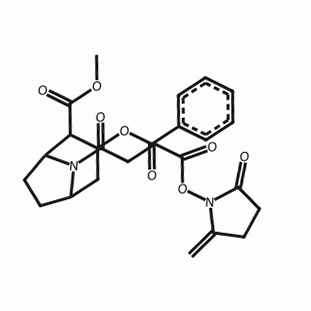 C=C1CCC(=O)N1OC(=O)CCC(=O)N1C2CCC1C(C(=O)OC)C(OC(=O)c1ccccc1)C2